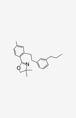 CCCc1cccc(CCc2cc(C)ccc2C2=NC(C)(C)CO2)c1